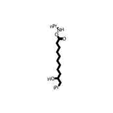 CCCNOC(=O)CCCCCCCCC(O)CC(C)C